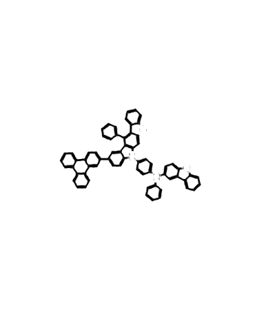 c1ccc(-c2c3c(cc4c2c2cc(-c5ccc6c7ccccc7c7ccccc7c6c5)ccc2n4-c2ccc(N(c4ccccc4)c4ccc5oc6ccccc6c5c4)cc2)oc2ccccc23)cc1